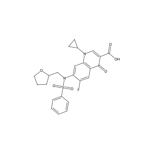 O=C(O)c1cn(C2CC2)c2cc(N(CC3CCCO3)S(=O)(=O)c3ccccc3)c(F)cc2c1=O